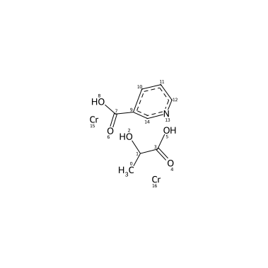 CC(O)C(=O)O.O=C(O)c1cccnc1.[Cr].[Cr]